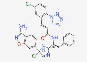 Nc1noc2cc(C3(Cl)C=NC([C@H](Cc4ccccc4)NC(=O)C=Cc4cc(Cl)ccc4-n4cnnn4)N3)ccc12